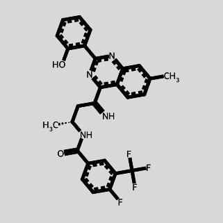 Cc1ccc2c(C(=N)C[C@@H](C)NC(=O)c3ccc(F)c(C(F)(F)F)c3)nc(-c3ccccc3O)nc2c1